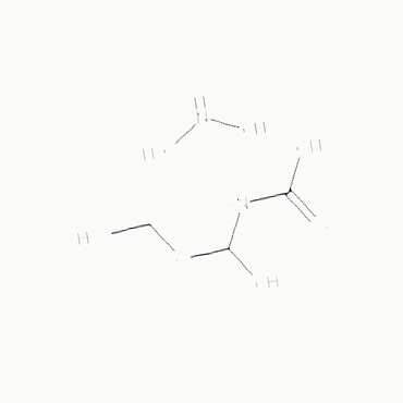 CCOC(C)NC(=O)O.CNC